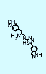 COc1ccc(C[C@@H](N)CNc2nnc(-c3ccc4[nH]ncc4c3)s2)cc1